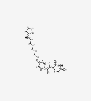 O=C1CCC(N2Cc3cc(SCCCCCCCNC4CCCC4)ccc3C2=O)C(=O)N1